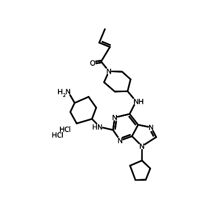 CC=CC(=O)N1CCC(Nc2nc(NC3CCC(N)CC3)nc3c2ncn3C2CCCC2)CC1.Cl.Cl